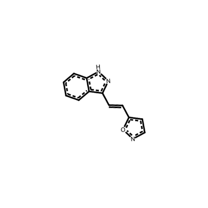 C(=Cc1n[nH]c2ccccc12)c1ccno1